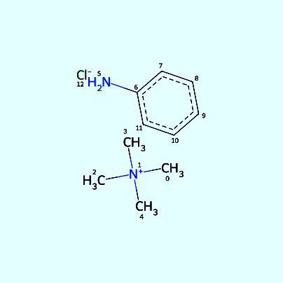 C[N+](C)(C)C.Nc1ccccc1.[Cl-]